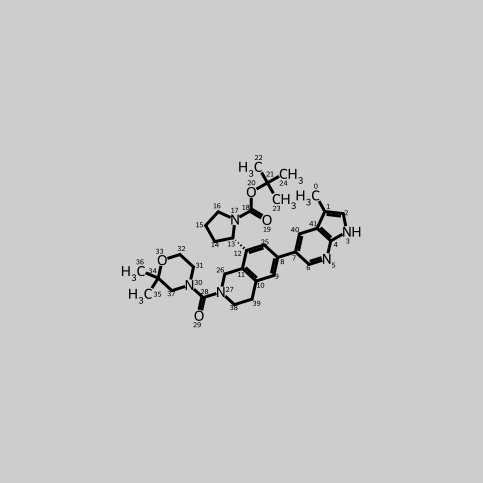 Cc1c[nH]c2ncc(-c3cc4c(c([C@@H]5CCCN5C(=O)OC(C)(C)C)c3)CN(C(=O)N3CCOC(C)(C)C3)CC4)cc12